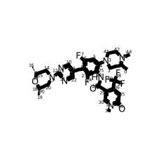 CC1CN(c2cc(F)c(-c3cnc(N4C[C@@H](C)O[C@H](C)C4)nc3)c(F)c2NC(=O)c2cn(C)c(=O)cc2C(F)(F)F)CCN1C